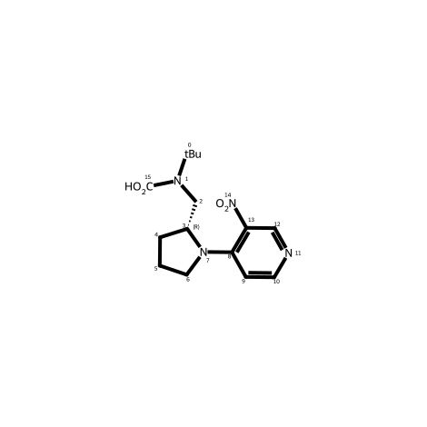 CC(C)(C)N(C[C@H]1CCCN1c1ccncc1[N+](=O)[O-])C(=O)O